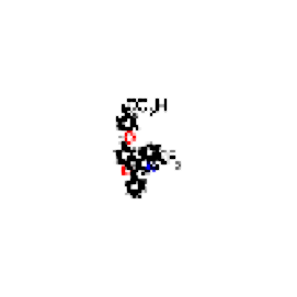 O=C(O)Cc1ccc(OCc2cccc(-c3c(C(=O)c4ccccc4)cnc4c(C(F)(F)F)cccc34)c2)cc1